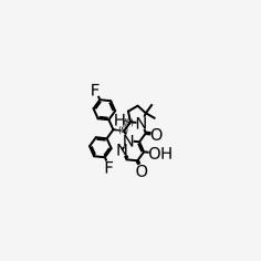 CC1(C)CC[C@@H]2[C@H](C(c3ccc(F)cc3)c3cccc(F)c3)n3ncc(=O)c(O)c3C(=O)N21